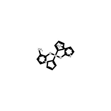 Cc1ccsc1[O][Zr]([O]c1sccc1C)([C]1=CC=CC1)[C]1=CC=CC1